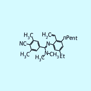 C=Cc1c(CCCCC)cc(CC)cc1/N=C(/c1cc(C)c(C#N)c(C)c1)N(C)C